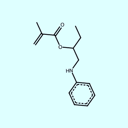 C=C(C)C(=O)OC(CC)CNc1ccccc1